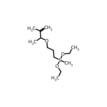 C=C(C)C(C)OCCC[Si](C)(OCC)OCC